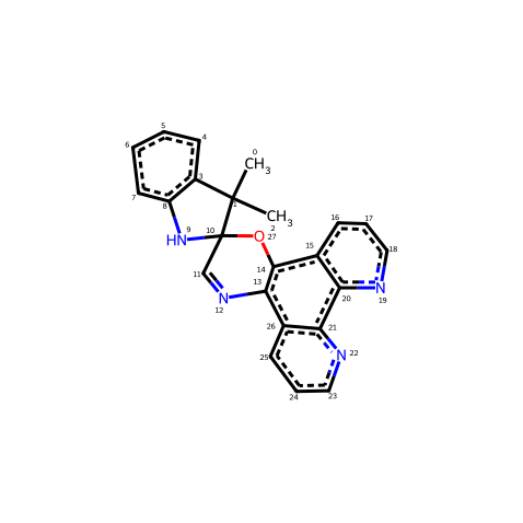 CC1(C)c2ccccc2NC12C=Nc1c(c3cccnc3c3ncccc13)O2